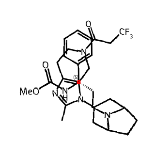 COC(=O)N[C@@H](CCN1C2CCC1CC(n1c(C)nc3c1CN(C(=O)CC(F)(F)F)CC3)C2)c1ccccc1